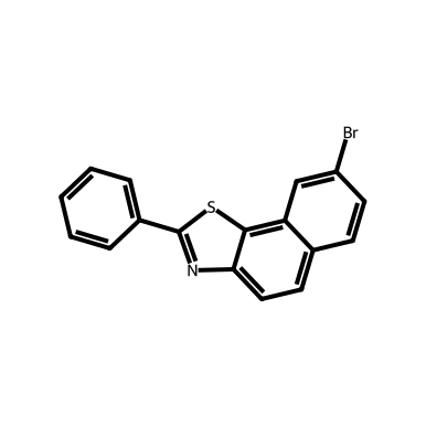 Brc1ccc2ccc3nc(-c4ccccc4)sc3c2c1